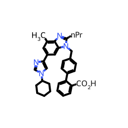 CCCc1nc2c(C)cc(-c3cn(C4CCCCC4)cn3)cc2n1Cc1ccc(-c2ccccc2C(=O)O)cc1